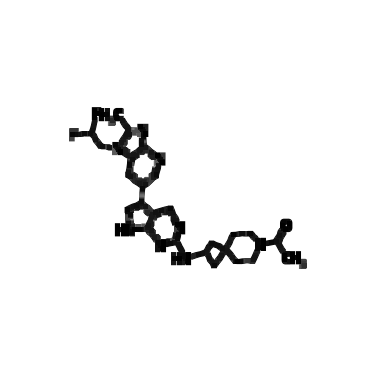 CC(=O)N1CCC2(CC1)CC(Nc1ncc3c(-c4cnc5nc(C)n(CC(F)F)c5c4)c[nH]c3n1)C2